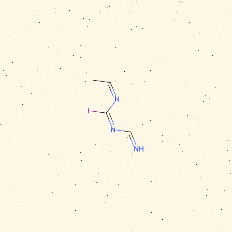 C/C=N\C(I)=N/C=N